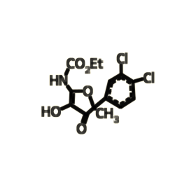 CCOC(=O)NC1=C(O)C(=O)C(C)(c2ccc(Cl)c(Cl)c2)O1